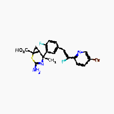 CC1(c2cc(C=C(F)c3ccc(Br)cn3)ccc2F)N=C(N)SC2(C(=O)O)CC21